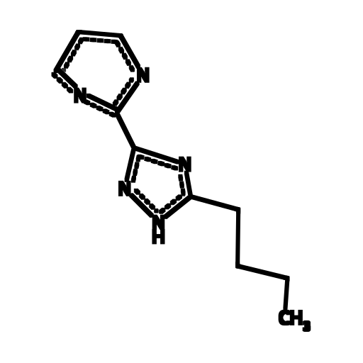 CCCCc1nc(-c2ncccn2)n[nH]1